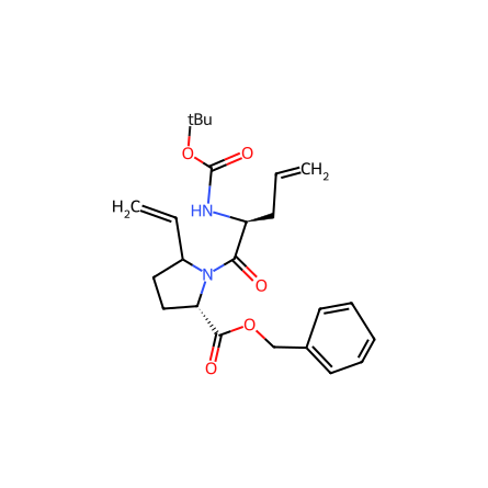 C=CC[C@H](NC(=O)OC(C)(C)C)C(=O)N1C(C=C)CC[C@H]1C(=O)OCc1ccccc1